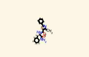 Cc1nc(-c2ccccc2)sc1C(=O)N[C@@H](CC1CCCCC1)C(N)=O